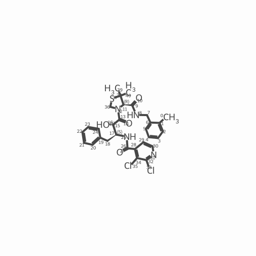 Cc1ccccc1CNC(=O)[C@H]1N(C(=O)[C@@H](O)[C@H](Cc2ccccc2)NC(=O)c2ccnc(Cl)c2Cl)CSC1(C)C